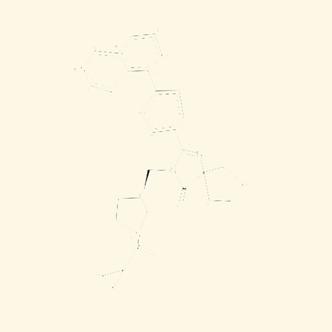 O=C(C1CC1)N1CC[C@@H](CN2C(=O)C3(CCCC3)N=C2c2ccc(-c3cccc4cnccc34)cc2)C1